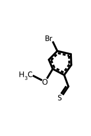 COc1cc(Br)ccc1C=S